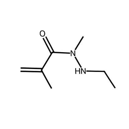 C=C(C)C(=O)N(C)NCC